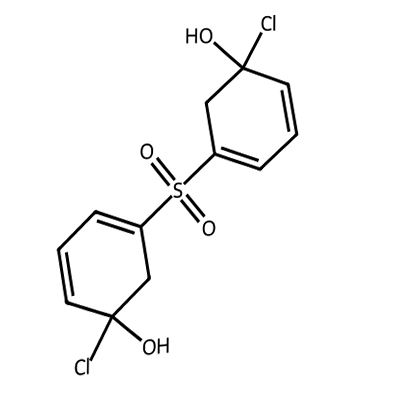 O=S(=O)(C1=CC=CC(O)(Cl)C1)C1=CC=CC(O)(Cl)C1